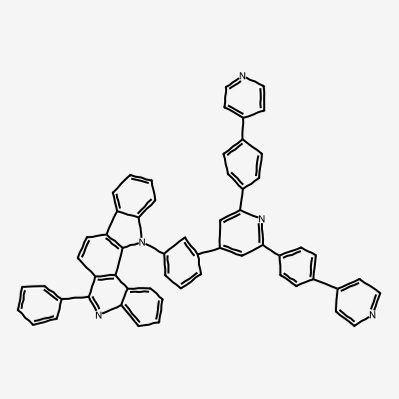 c1ccc(-c2nc3ccccc3c3c2ccc2c4ccccc4n(-c4cccc(-c5cc(-c6ccc(-c7ccncc7)cc6)nc(-c6ccc(-c7ccncc7)cc6)c5)c4)c23)cc1